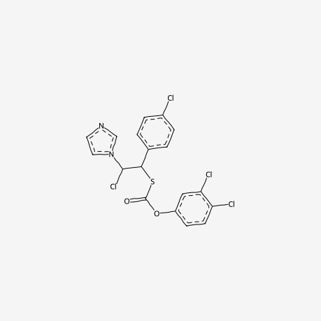 O=C(Oc1ccc(Cl)c(Cl)c1)SC(c1ccc(Cl)cc1)C(Cl)n1ccnc1